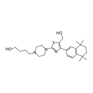 CC1(C)CCC(C)(C)c2cc(-c3nc(N4CCN(CCCCO)CC4)sc3CO)ccc21